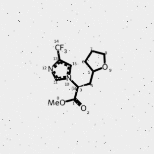 COC(=O)[C@H](CC1CCCO1)n1cnc(C(F)(F)F)c1